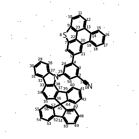 N#Cc1cc(-c2cc3sc4cccc5c6ccccc6c(c2)c3c45)cc(-n2c3ccccc3c3ccc4c(c32)-c2ccccc2C42c3ccccc3-c3ccccc32)c1